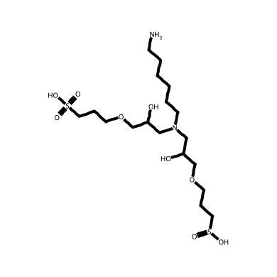 NCCCCCCN(CC(O)COCCCS(=O)O)CC(O)COCCCS(=O)(=O)O